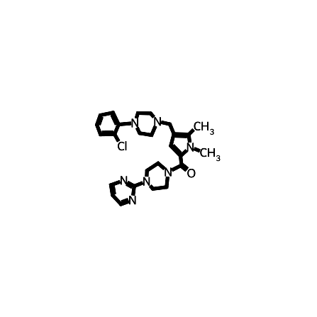 Cc1c(CN2CCN(c3ccccc3Cl)CC2)cc(C(=O)N2CCN(c3ncccn3)CC2)n1C